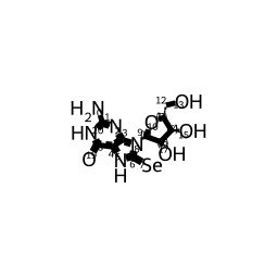 Nc1nc2c([nH]c(=[Se])n2[C@@H]2O[C@H](CO)[C@@H](O)[C@H]2O)c(=O)[nH]1